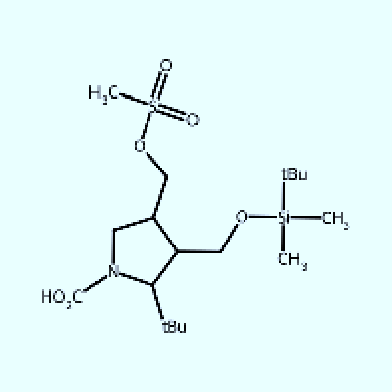 CC(C)(C)C1C(CO[Si](C)(C)C(C)(C)C)C(COS(C)(=O)=O)CN1C(=O)O